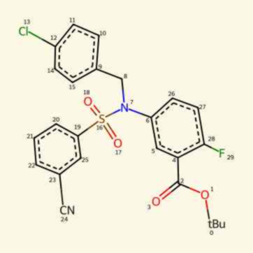 CC(C)(C)OC(=O)c1cc(N(Cc2ccc(Cl)cc2)S(=O)(=O)c2cccc(C#N)c2)ccc1F